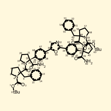 CC(C)(C)OC(=O)N1CCCC1(Cc1ccccc1)C(=O)N1CCC[C@@]1(C(N)=O)c1ccc(-c2cnc(-c3ccc([C@]4(C(N)=O)CCCN4C(=O)C4(Cc5ccccc5)CCCN4C(=O)OC(C)(C)C)cc3)o2)cc1